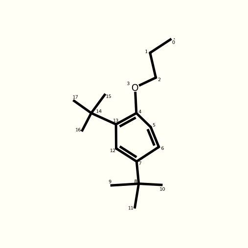 [CH2]CCOc1ccc(C(C)(C)C)cc1C(C)(C)C